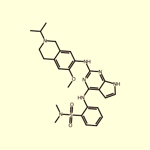 COc1cc2c(cc1Nc1nc(Nc3ccccc3S(=O)(=O)N(C)C)c3cc[nH]c3n1)CN(C(C)C)CC2